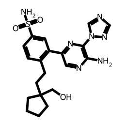 Nc1ncc(-c2cc(S(N)(=O)=O)ccc2CCC2(CO)CCCC2)nc1-n1cncn1